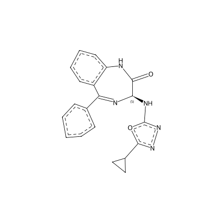 O=C1Nc2ccccc2C(c2ccccc2)=N[C@@H]1Nc1nnc(C2CC2)o1